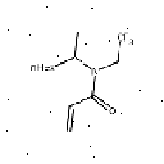 C=CC(=O)N(CC(F)(F)F)C(C)CCCCCC